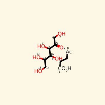 CC(=O)CCC(=O)O.O=C(CO)C(O)C(O)C(O)CO